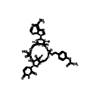 CC(=O)Oc1ccc(CSP2(=O)OC[C@H]3ON(C4C=CC(=O)NC4=O)[C@H](OP(=O)(O)OC[C@H]4O[C@@H](n5cnc6c(N)ncnc65)[C@H](F)[C@@H]4O2)[C@@H]3F)cc1